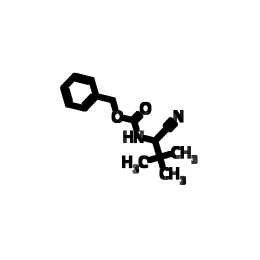 CC(C)(C)C(C#N)NC(=O)OCc1ccccc1